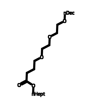 CCCCCCCCCCOCCOCCOCCCC(=O)OCCCCCCC